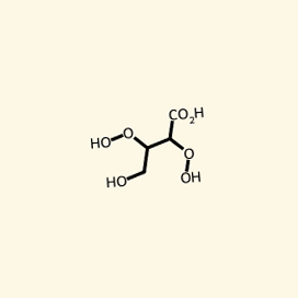 O=C(O)C(OO)C(CO)OO